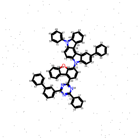 c1ccc(-c2cccc(-c3nc(-c4ccccc4)nc(-c4ccc(-n5c6ccc(-c7ccccc7)cc6c6c7c8ccccc8n(-c8ccccc8)c7ccc65)c5oc6ccccc6c45)n3)c2)cc1